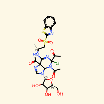 CC(=O)N1C2N([C@@H]3O[C@H](CO)C(O)C3O)C=NC2(C(C)=O)C(N[C@H](C)CS(=O)(=O)c2nc3ccccc3s2)=NC1(Cl)C(C)=O